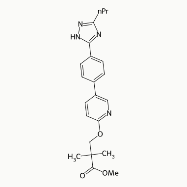 CCCc1n[nH]c(-c2ccc(-c3ccc(OCC(C)(C)C(=O)OC)nc3)cc2)n1